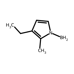 Bn1ccc(CC)c1C